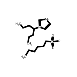 CCCC(CCC)[n+]1cc[nH]c1.CCCCCCS(=O)(=O)[O-]